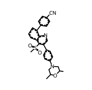 CC1CN(c2ccc(-c3cnc4c(-c5ccc(C#N)cc5)cccc4c3S(C)(=O)=O)cc2)CC(C)O1